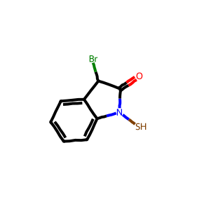 O=C1C(Br)c2ccccc2N1S